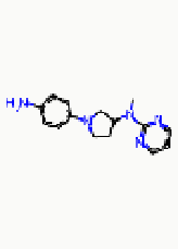 CN(c1ncccn1)C1CCN(c2ccc(N)cc2)C1